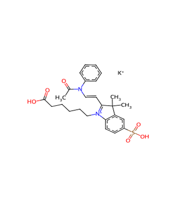 CC(=O)N(C=CC1=[N+](CCCCCC(=O)O)c2ccc(S(=O)(=O)O)cc2C1(C)C)c1ccccc1.[K+]